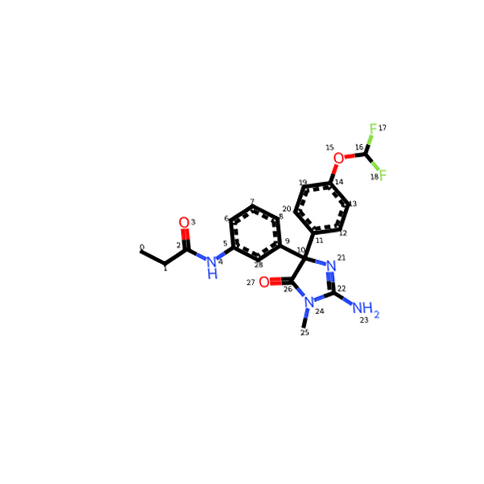 CCC(=O)Nc1cccc(C2(c3ccc(OC(F)F)cc3)N=C(N)N(C)C2=O)c1